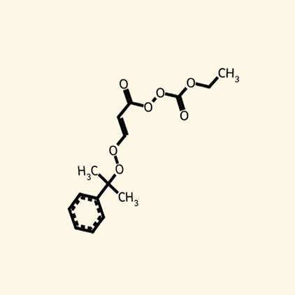 CCOC(=O)OOC(=O)C=COOC(C)(C)c1ccccc1